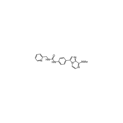 CNc1nccn2c(-c3ccc(NC(=O)NCc4ccccn4)cc3)cnc12